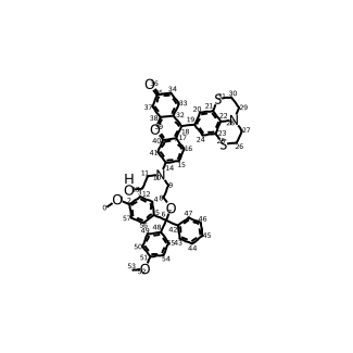 COc1ccc(C(OCCN(CCO)c2ccc3c(-c4cc5c6c(c4)SCCN6CCS5)c4ccc(=O)cc-4oc3c2)(c2ccccc2)c2ccc(OC)cc2)cc1